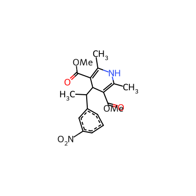 COC(=O)C1=C(C)NC(C)=C(C(=O)OC)C1C(C)c1cccc([N+](=O)[O-])c1